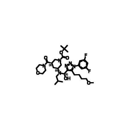 COCCCCc1c([C@@H](O)N(CC(C)C)[C@H]2C[C@@H](C(=O)N3CCOCC3)CN(C(=O)OC(C)(C)C)C2)nnn1-c1cc(F)cc(F)c1